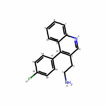 NCCc1cnc2ccccc2c1-c1ccc(F)cc1